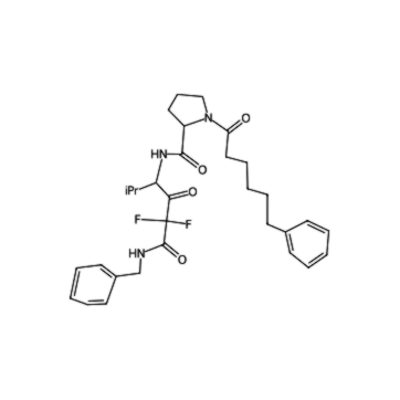 CC(C)C(NC(=O)C1CCCN1C(=O)CCCCCc1ccccc1)C(=O)C(F)(F)C(=O)NCc1ccccc1